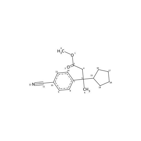 COC(=O)CC(C)(c1ccc(C#N)cc1)C1CCCC1